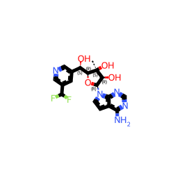 C[C@@]1(O)[C@@H]([C@@H](O)c2cncc(C(F)F)c2)O[C@@H](n2ccc3c(N)ncnc32)[C@@H]1O